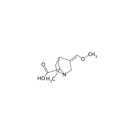 COC=C1CN2CCC1CC2(C)C(=O)O